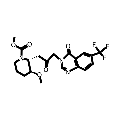 COC(=O)N1CCC[C@H](OC)[C@H]1CC(=O)Cn1cnc2ccc(C(F)(F)F)cc2c1=O